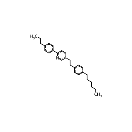 CCCCCCc1ccc(CCc2ccc(-c3ccc(CCC)cc3)nc2)cc1